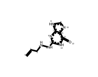 C=CCNNc1nc2[nH]cnc2c(=O)[nH]1